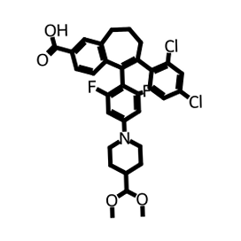 COC(OC)C1CCN(c2cc(F)c(C3=C(c4ccc(Cl)cc4Cl)CCCc4cc(C(=O)O)ccc43)c(F)c2)CC1